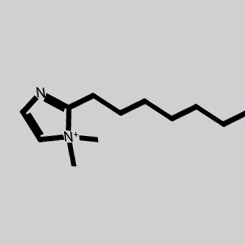 CCCCCCCC1=NC=C[N+]1(C)C